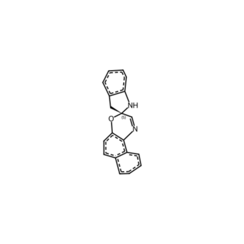 C1=Nc2c(ccc3ccccc23)O[C@@]12Cc1ccccc1N2